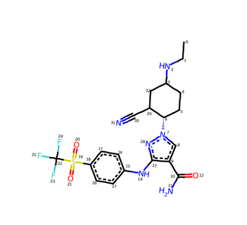 CCNC1CC[C@H](n2cc(C(N)=O)c(Nc3ccc(S(=O)(=O)C(F)(F)F)cc3)n2)C(C#N)C1